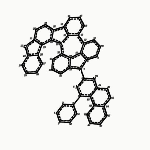 c1ccc(-c2nc(-n3c4cccc5c6cccc7c8ccc9oc%10ccccc%10c9c8n(c8cccc3c8c54)c67)nc3ccc4ccccc4c23)cc1